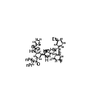 CCCN(CCC)C(=O)c1cc(NS(=O)(=O)c2cccs2)cc(C(=O)N[C@@H](Cc2cc(F)cc(F)c2)[C@H](O)CNCc2cccc(CC)c2)c1